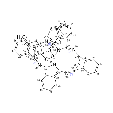 Cc1ccc(O[Si]2(Oc3ccc(C)cc3)n3c4c5ccccc5c3/N=C3N=C(/N=c5/c6ccccc6/c(n52)=N/C2=NC(=N\4)/c4ccccc42)c2ccccc2\3)cc1